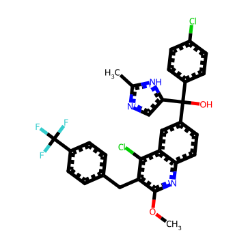 COc1nc2ccc(C(O)(c3ccc(Cl)cc3)c3cnc(C)[nH]3)cc2c(Cl)c1Cc1ccc(C(F)(F)F)cc1